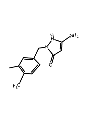 Cc1cc(Cn2[nH]c(N)cc2=O)ccc1C(F)(F)F